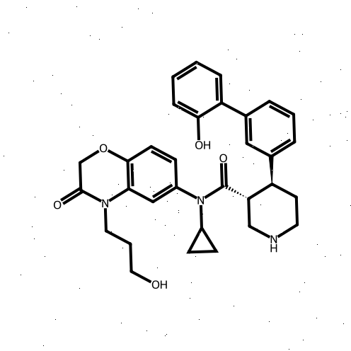 O=C1COc2ccc(N(C(=O)[C@H]3CNCC[C@@H]3c3cccc(-c4ccccc4O)c3)C3CC3)cc2N1CCCO